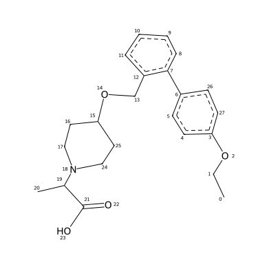 CCOc1ccc(-c2ccccc2COC2CCN(C(C)C(=O)O)CC2)cc1